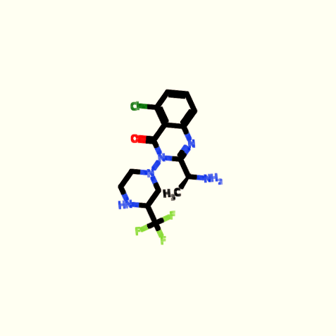 C[C@H](N)c1nc2cccc(Cl)c2c(=O)n1N1CCNC(C(F)(F)F)C1